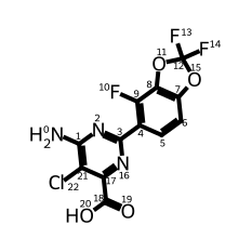 Nc1nc(-c2ccc3c(c2F)OC(F)(F)O3)nc(C(=O)O)c1Cl